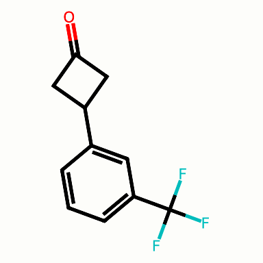 O=C1CC(c2cccc(C(F)(F)F)c2)C1